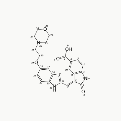 O=C1Nc2ccc(C(=O)O)cc2/C1=C\c1cc2cc(OCCN3CCOCC3)ccc2[nH]1